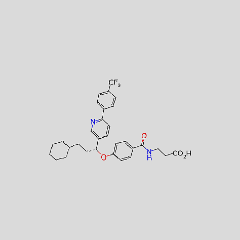 O=C(O)CCNC(=O)c1ccc(O[C@H](CCC2CCCCC2)c2ccc(-c3ccc(C(F)(F)F)cc3)nc2)cc1